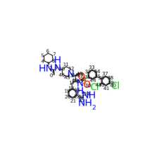 C=C(NC1CCCCC1)NC1CCN(C(=C)[C@H](Cc2cccc(C(=N)N)c2)NS(=O)(=O)c2cccc(-c3ccc(Cl)cc3Cl)c2)CC1